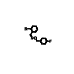 Fc1ccc(CO/N=[C]\c2ccccc2Br)cc1